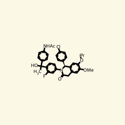 COc1cc2c(cc1OC(C)C)[C@H](c1ccc(Cl)cc1)N(c1ccc(C(C)(O)c3ccc(NC(C)=O)cc3)c(F)c1)C(=O)C2